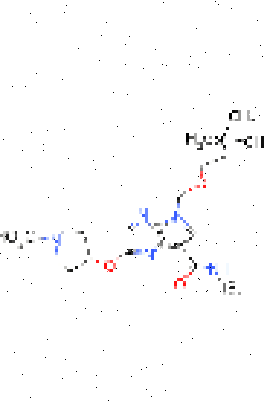 CC(C)(C)NC(=O)c1cn(COCC[Si](C)(C)C)c2ncc(OC3CCN(C(=O)O)CC3)nc12